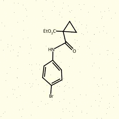 CCOC(=O)C1(C(=O)Nc2ccc(Br)cc2)CC1